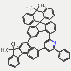 CC1(C)c2ccccc2-c2ccc(-c3ccc4c(c3)-c3c(-c5cc(-c6ccccc6)cc(-c6ccccc6)n5)cccc3C43c4ccccc4C(C)(C)c4ccccc43)cc21